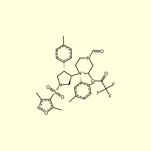 Cc1ccc([C@H]2CN(S(=O)(=O)c3c(C)noc3C)C[C@@H]2[N@@+]2(c3cc(C)ccc3C)CCN(C=O)CC2OC(=O)C(F)(F)F)cc1